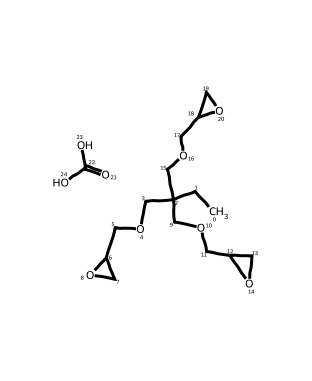 CCC(COCC1CO1)(COCC1CO1)COCC1CO1.O=C(O)O